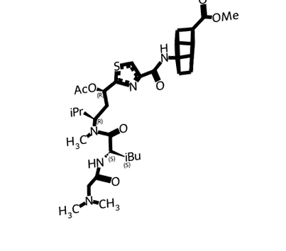 CC[C@H](C)[C@H](NC(=O)CN(C)C)C(=O)N(C)[C@H](C[C@@H](OC(C)=O)c1nc(C(=O)NC23C4C5C2C2C3C4C52C(=O)OC)cs1)C(C)C